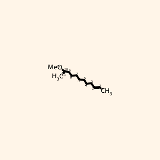 CC=CCCCCCCCC(C)OC